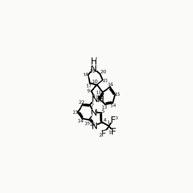 FC(F)(F)c1cn2c(NCC3(c4ccccc4)CCNCC3)cccc2n1